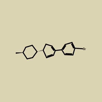 C[C@H]1CC[C@H](C2C=CC(c3ccc(Br)cc3)=CC2)CC1